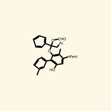 CCCCCc1cc(O)c(-c2cccc(C)c2)c(OC(CC(C)=O)(OC=O)c2ccccc2)c1C